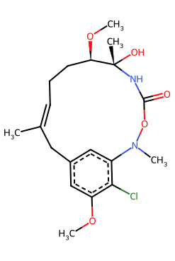 COc1cc2cc(c1Cl)N(C)OC(=O)N[C@@](C)(O)[C@H](OC)CC/C=C(\C)C2